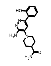 NC(=O)C1CCN(c2cc(-c3ccccc3O)nnc2N)CC1